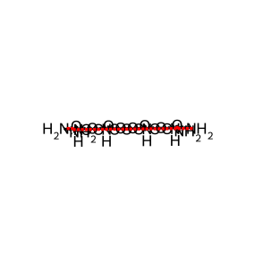 NCCCCC[C@H](N)C(=O)NCCCOCCOCCOCCCNC(=O)CCOCCOCCOCCOCCOCCC(=O)NCCCOCCOCCOCCCNC(=O)[C@@H](N)CCCCN